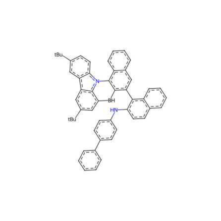 CC(C)(C)c1ccc2c(c1)c1cc(C(C)(C)C)cc3c1n2-c1c(c(-c2c(Nc4ccc(-c5ccccc5)cc4)ccc4ccccc24)cc2ccccc12)B3